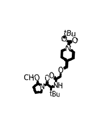 CC(C)(C)OC(=O)N1CCC(COCC(=O)NC(C(=O)N2CCCC2C=O)C(C)(C)C)CC1